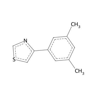 Cc1cc(C)cc(-c2cscn2)c1